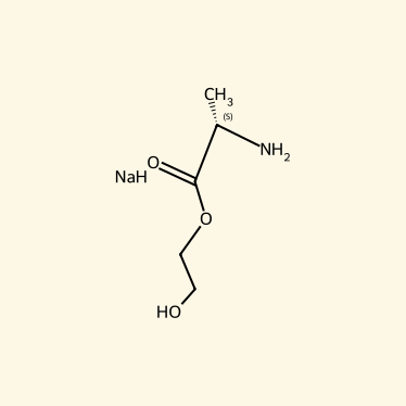 C[C@H](N)C(=O)OCCO.[NaH]